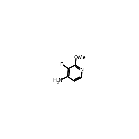 COc1nccc(N)c1F